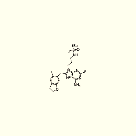 Cc1cc2c(cc1Cc1nc3c(N)nc(F)nc3n1CCCNS(=O)(=O)C(C)(C)C)OCC2